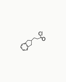 O=C(Cl)CCC1Cc2ccccc2C1